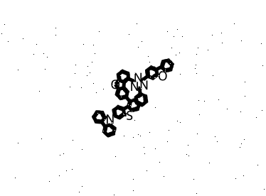 c1ccc(-c2nc(-c3ccc4c(c3)oc3ccccc34)nc(-c3cccc4oc5ccc(-c6cccc7sc8cc(-n9c%10ccccc%10c%10ccccc%109)ccc8c67)cc5c34)n2)cc1